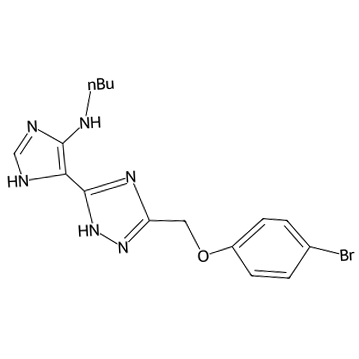 CCCCNc1nc[nH]c1-c1nc(COc2ccc(Br)cc2)n[nH]1